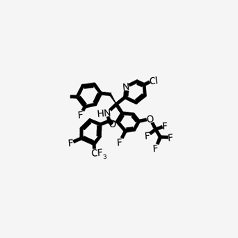 Cc1ccc(C[C@](NC(=O)c2ccc(F)c(C(F)(F)F)c2)(c2cc(F)cc(OC(F)(F)C(F)F)c2)c2ccc(Cl)cn2)cc1F